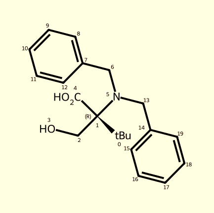 CC(C)(C)[C@@](CO)(C(=O)O)N(Cc1ccccc1)Cc1ccccc1